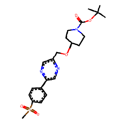 CC(C)(C)OC(=O)N1CCC(OCc2cnc(-c3ccc(S(C)(=O)=O)cc3)cn2)CC1